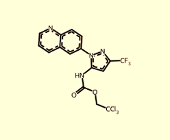 O=C(Nc1cc(C(F)(F)F)nn1-c1ccc2ncccc2c1)OCC(Cl)(Cl)Cl